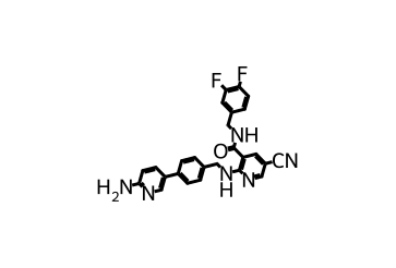 N#Cc1cnc(NCc2ccc(-c3ccc(N)nc3)cc2)c(C(=O)NCc2ccc(F)c(F)c2)c1